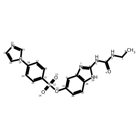 CCNC(=O)Nc1nc2cc(OS(=O)(=O)c3ccc(-n4ccnc4)cc3)ccc2[nH]1